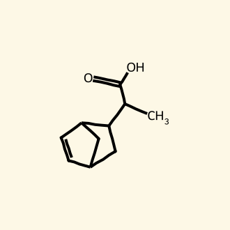 CC(C(=O)O)C1CC2C=CC1C2